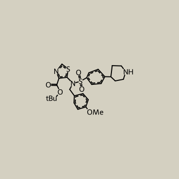 COc1ccc(CN(c2scnc2C(=O)OC(C)(C)C)S(=O)(=O)c2ccc(C3CCNCC3)cc2)cc1